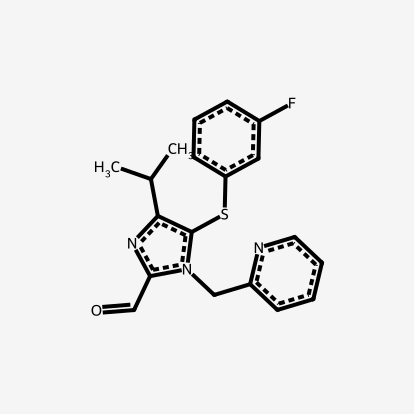 CC(C)c1nc(C=O)n(Cc2ccccn2)c1Sc1cccc(F)c1